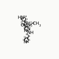 CCCNc1nc(NCCc2ccncc2)ncc1C(=O)NC1CCNCC1